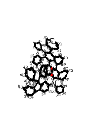 c1ccc(-c2c(-c3ccccc3)c(-c3ccccc3)c3c(-c4ccc(N(c5ccccc5)c5ccc6c(c5)C(c5ccccc5)(c5ccccc5)c5ccccc5-6)c5ccccc45)cccc3c2-c2ccccc2)cc1